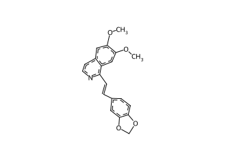 COc1cc2ccnc(C=Cc3ccc4c(c3)OCO4)c2cc1OC